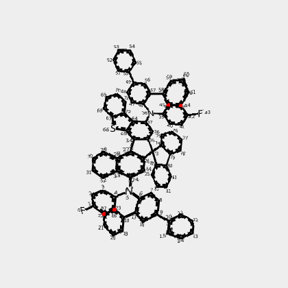 Fc1ccc(N(c2ccc(-c3ccccc3)cc2-c2ccccc2)c2cc3c(c4ccccc24)-c2c(cc(N(c4ccc(F)cc4)c4ccc(-c5ccccc5)cc4-c4ccccc4)c4c2sc2ccccc24)C32c3ccccc3-c3ccccc32)cc1